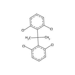 CC(C)(c1c(Cl)cccc1Cl)c1c(Cl)cccc1Cl